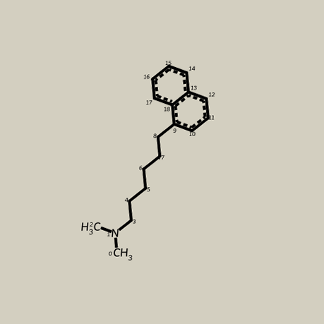 CN(C)CCCC[CH]Cc1cccc2ccccc12